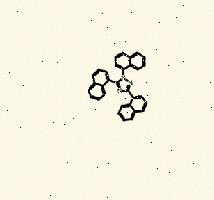 c1ccc2c(-c3nc(-c4cccc5ccccc45)n(-c4cccc5ccccc45)n3)cccc2c1